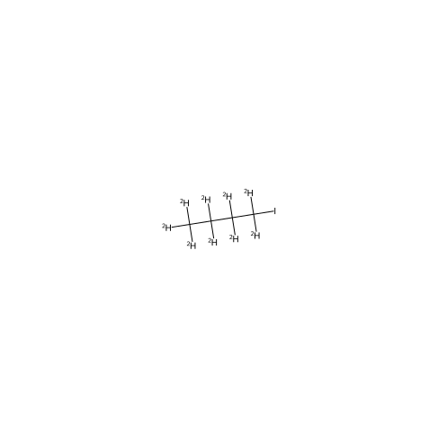 [2H]C([2H])([2H])C([2H])([2H])C([2H])([2H])C([2H])([2H])I